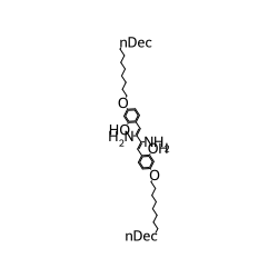 CCCCCCCCCCCCCCCCCCOc1ccc(C=C(N)C(N)=Cc2ccc(OCCCCCCCCCCCCCCCCCC)cc2O)c(O)c1